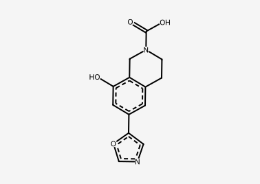 O=C(O)N1CCc2cc(-c3cnco3)cc(O)c2C1